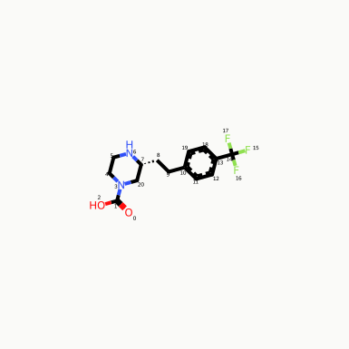 O=C(O)N1CCN[C@H](CCc2ccc(C(F)(F)F)cc2)C1